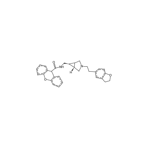 O=C(NC[C@H]1C2CN(CCc3ccc4c(c3)CCO4)C[C@@H]21)C1c2ccccc2Oc2ccccc21